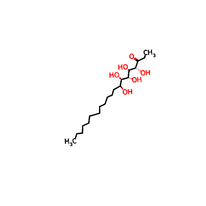 CCCCCCCCCCCCC(O)[C@@H](O)[C@@H](O)[C@H](O)[C@@H](O)C(=O)CC